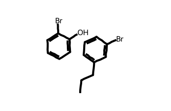 CCCc1cccc(Br)c1.Oc1ccccc1Br